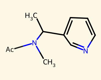 CC(=O)N(C)C(C)c1cccnc1